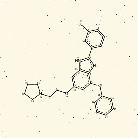 Cc1cccc(-c2nc3c(Cc4ccccc4)cc(OCCN4CCCC4)cc3[nH]2)c1